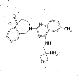 Cc1ccc2nc(N3CCS(=O)(=O)c4ccncc4C3)nc(NCC3(N)COC3)c2c1